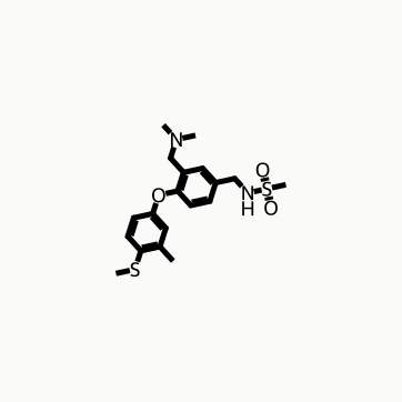 CSc1ccc(Oc2ccc(CNS(C)(=O)=O)cc2CN(C)C)cc1C